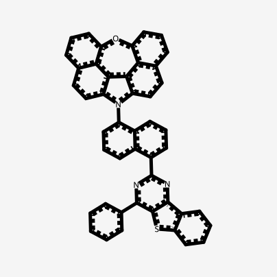 c1ccc(-c2nc(-c3cccc4c(-n5c6ccc7cccc8oc9cccc%10ccc5c(c%109)c6c78)cccc34)nc3c2sc2ccccc23)cc1